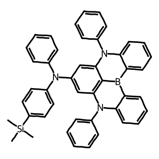 C[Si](C)(C)c1ccc(N(c2ccccc2)c2cc3c4c(c2)N(c2ccccc2)c2ccccc2B4c2ccccc2N3c2ccccc2)cc1